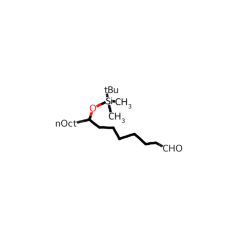 CCCCCCCCC(CCCCCCC=O)O[Si](C)(C)C(C)(C)C